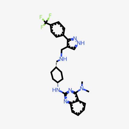 CN(C)c1nc(N[C@H]2CC[C@@H](CNCc3c[nH]nc3-c3ccc(C(F)(F)F)cc3)CC2)nc2ccccc12